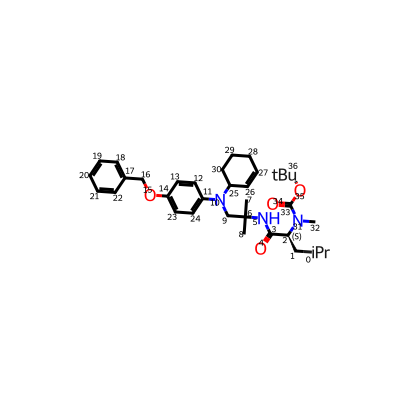 CC(C)C[C@@H](C(=O)NC(C)(C)CN(c1ccc(OCc2ccccc2)cc1)C1C=CCCC1)N(C)C(=O)OC(C)(C)C